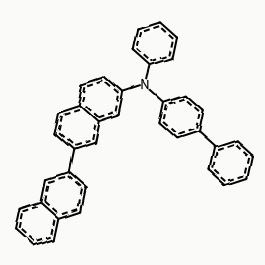 c1ccc(-c2ccc(N(c3ccccc3)c3ccc4ccc(-c5ccc6ccccc6c5)cc4c3)cc2)cc1